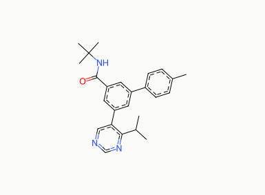 Cc1ccc(-c2cc(C(=O)NC(C)(C)C)cc(-c3cncnc3C(C)C)c2)cc1